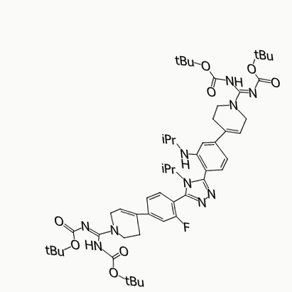 CC(C)Nc1cc(C2=CCN(C(=NC(=O)OC(C)(C)C)NC(=O)OC(C)(C)C)CC2)ccc1-c1nnc(-c2ccc(C3=CCN(C(=NC(=O)OC(C)(C)C)NC(=O)OC(C)(C)C)CC3)cc2F)n1C(C)C